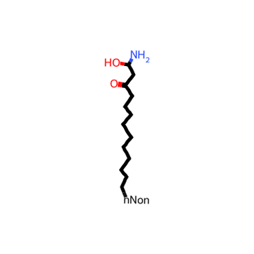 CCCCCCCCCCCCCCCCCCCC(=O)CC(N)O